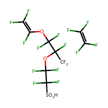 FC(F)=C(F)F.O=S(=O)(O)C(F)(F)C(F)(F)OC(F)(C(F)(F)F)C(F)(F)OC(F)=C(F)F